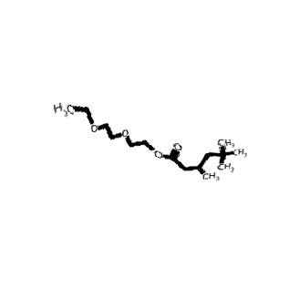 CCOCCOC[CH]OC(=O)CC(C)CC(C)(C)C